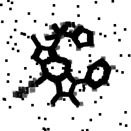 CC1=Cc2c(Br)c3c(cc2=[C]1[Zr]([CH3])([CH3])(=[SiH2])[C]1=CC=CC1)N(c1ccccc1)C(C)C=3C.Cl.Cl